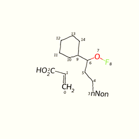 C=CC(=O)O.CCCCCCCCCCCC(OF)C1CCCCC1